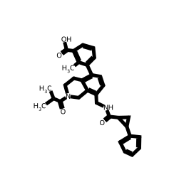 Cc1c(C(=O)O)cccc1-c1ccc(CNC(=O)C2CC2c2ccccc2)c2c1CCN(C(=O)C(C)C)C2